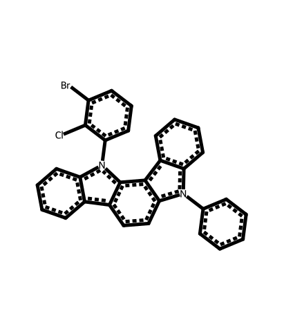 Clc1c(Br)cccc1-n1c2ccccc2c2ccc3c(c4ccccc4n3-c3ccccc3)c21